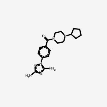 Nc1nc(N)n(-c2ccc(C(=O)N3CCN(C4CCCC4)CC3)cc2)n1